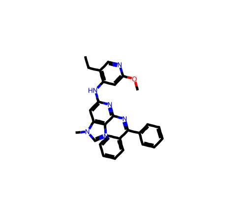 CCc1cnc(OC)cc1Nc1cc2c(ncn2C)c(N=C(c2ccccc2)c2ccccc2)n1